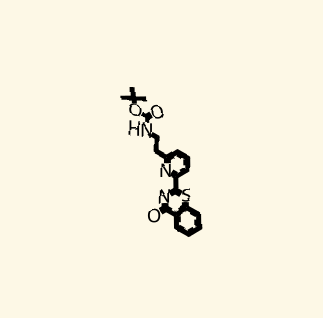 CC(C)(C)OC(=O)NCCc1cccc(-c2nc(=O)c3ccccc3s2)n1